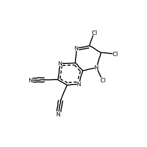 N#Cc1nc2c(nc1C#N)N(Cl)C(Cl)C(Cl)=N2